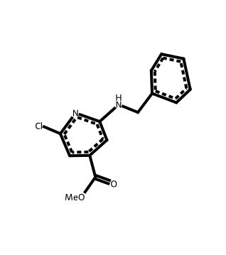 COC(=O)c1cc(Cl)nc(NCc2ccccc2)c1